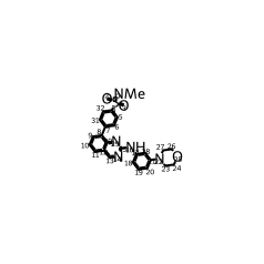 CNS(=O)(=O)c1ccc(-c2cccc3cnc(Nc4cccc(N5CCOCC5)c4)nc23)cc1